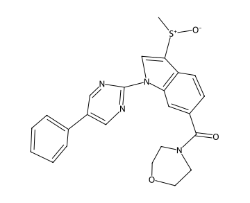 C[S+]([O-])c1cn(-c2ncc(-c3ccccc3)cn2)c2cc(C(=O)N3CCOCC3)ccc12